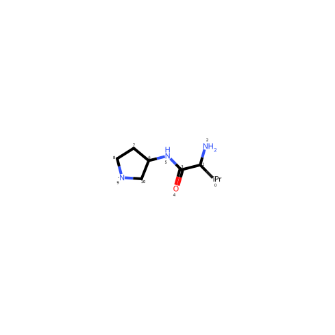 CC(C)C(N)C(=O)NC1CC[N]C1